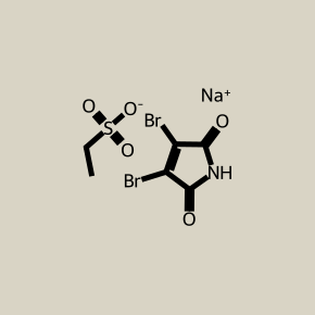 CCS(=O)(=O)[O-].O=C1NC(=O)C(Br)=C1Br.[Na+]